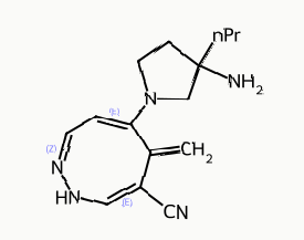 C=C1/C(C#N)=C\N/N=C\C=C/1N1CCC(N)(CCC)C1